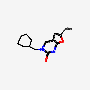 CCCCCCCCCCc1cc2cn(CC3CCCCC3)c(=O)nc2o1